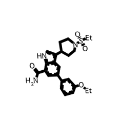 CCOc1cccc(-c2cc(C(N)=O)c3[nH]cc(C4CCN(S(=O)(=O)CC)CC4)c3c2)c1